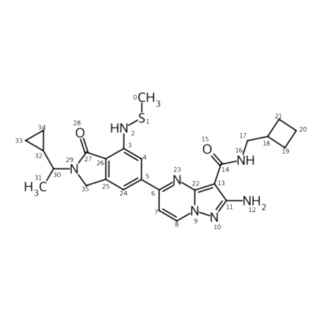 CSNc1cc(-c2ccn3nc(N)c(C(=O)NCC4CCC4)c3n2)cc2c1C(=O)N(C(C)C1CC1)C2